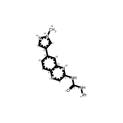 CC(C)NC(=O)Nc1cnc2ccc(-c3cnn(C)c3)cc2n1